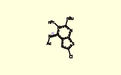 CCCCc1nc2sc(Cl)cc2/c(=N\C(C)=O)n1CCC